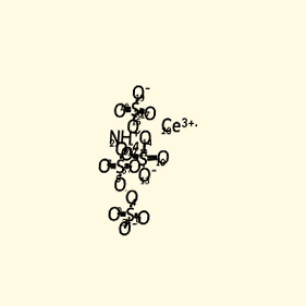 O=S(=O)([O-])OOS(=O)(=O)[O-].O=S(=O)([O-])OOS(=O)(=O)[O-].[Ce+3].[NH4+]